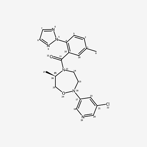 Cc1ccc(-n2nccn2)c(C(=O)N2CCN(c3cncc(Cl)c3)OC[C@H]2C)c1